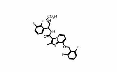 Cc1nc2c(OCc3c(F)cccc3F)cccn2c1C(=O)NC(CNC(=O)O)c1cccc(F)c1F